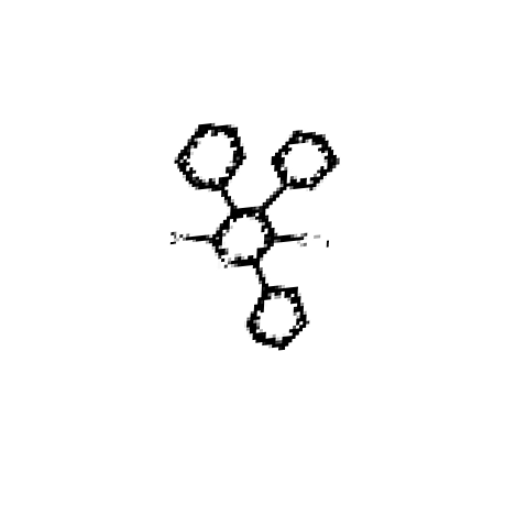 [SiH3]c1c(-c2ccccc2)nc(Br)c(-c2ccccc2)c1-c1ccccc1